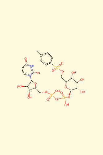 Cc1ccc(S(=O)(=O)OCC2O[C@H](OP(=O)(O)OP(=O)(O)OCC3OC(n4ccc(=O)[nH]c4=O)[C@H](O)[C@@H]3O)[C@@H](O)C(O)[C@H]2O)cc1